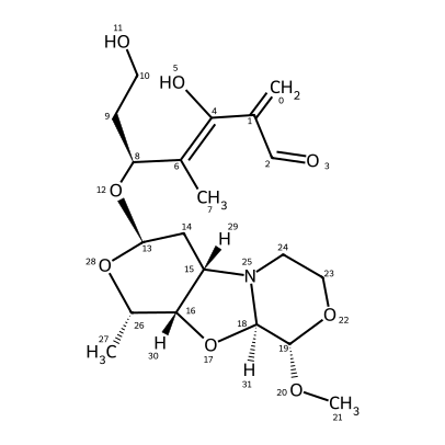 C=C(C=O)/C(O)=C(\C)[C@H](CCO)O[C@H]1C[C@H]2[C@H](O[C@@H]3[C@@H](OC)OCCN32)[C@H](C)O1